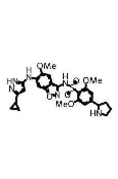 COc1cc2c(NS(=O)(=O)c3c(OC)cc(C4CCCN4)cc3OC)noc2cc1Nc1cc(C2CC2)n[nH]1